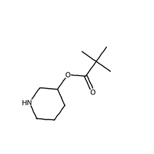 CC(C)(C)C(=O)OC1CCCNC1